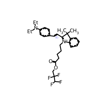 CCN(CC)c1ccc(/C=C/C2=[N+](CCCCC(=O)OCC(F)(F)C(F)F)c3ccccc3C2(C)C)cc1